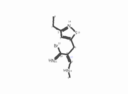 CCc1cc(C/C(=C/NC)C(=N)Br)sn1